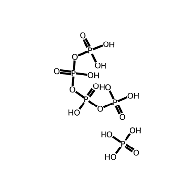 O=P(O)(O)O.O=P(O)(O)OP(=O)(O)OP(=O)(O)OP(=O)(O)O